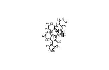 c1ccc(C2=NNC(n3c4ccccc4c4c5ccsc5ccc43)N2c2ccccc2)cc1